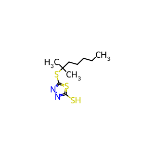 CCCCCC(C)(C)Sc1nnc(S)s1